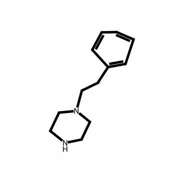 [CH](CN1CCNCC1)c1ccccc1